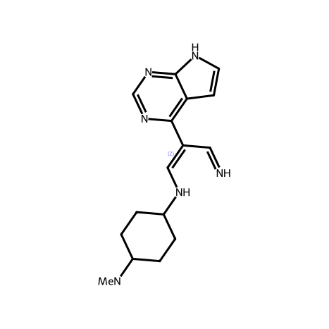 CNC1CCC(N/C=C(\C=N)c2ncnc3[nH]ccc23)CC1